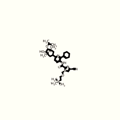 CC(C)O[C@H]1[C@@H](O)[C@]2(C)CC(c3ccc(NC(=O)c4nc(C#N)cn4COCC[Si](C)(C)C)c(C4=CCCCC4)n3)C[C@@]1(C)O2